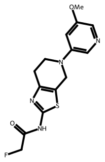 COc1cncc(N2CCc3nc(NC(=O)CF)sc3C2)c1